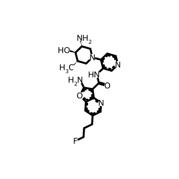 C[C@H]1CN(c2ccncc2NC(=O)c2c(N)oc3cc(CCCF)cnc23)C[C@@H](N)[C@@H]1O